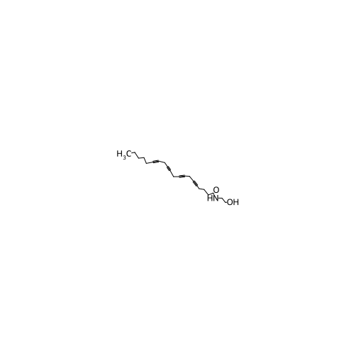 CCCCCC#CCC#CCC#CCC#CCCCC(=O)NCCO